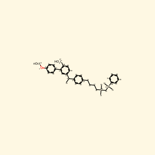 CCCCCCCCOc1ccc(-c2cc(C(C)c3ccc(CCCC[Si](C)(C)C[Si](C)(C)c4ccccc4)cc3)ccc2C(=O)O)cc1